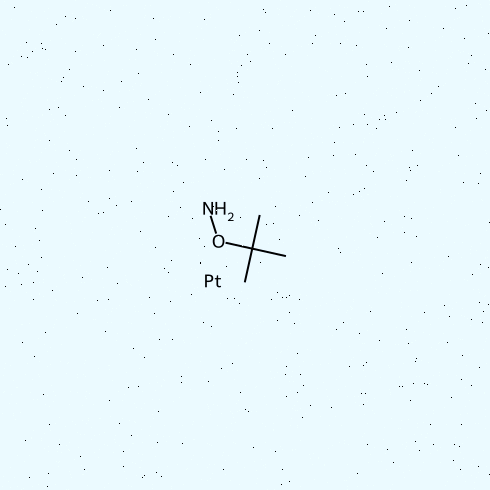 CC(C)(C)ON.[Pt]